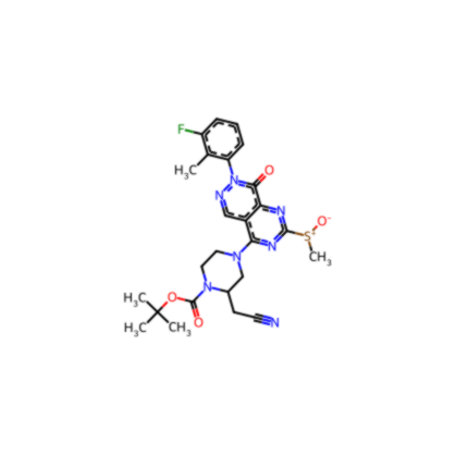 Cc1c(F)cccc1-n1ncc2c(N3CCN(C(=O)OC(C)(C)C)C(CC#N)C3)nc([S+](C)[O-])nc2c1=O